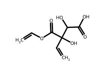 C=COC(=O)C(O)(C=C)C(O)C(=O)O